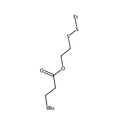 CCSSCCOC(=O)CCC(C)(C)C